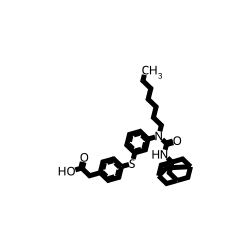 CCCCCCCN(C(=O)NC12CC3CC(CC(C3)C1)C2)c1cccc(Sc2ccc(CC(=O)O)cc2)c1